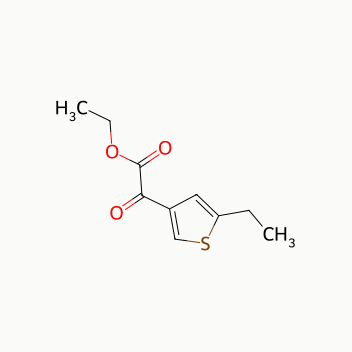 CCOC(=O)C(=O)c1csc(CC)c1